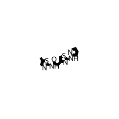 Cc1cnc(NC(=O)Cc2csc(Nc3ccccn3)n2)s1